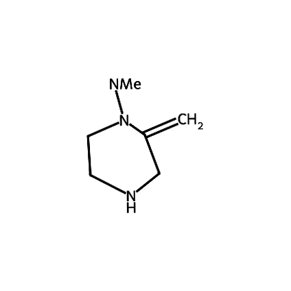 C=C1CNCCN1NC